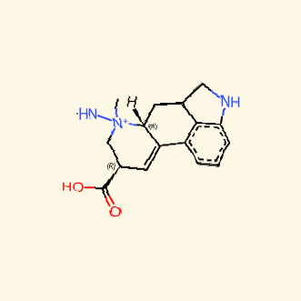 C[N+]1([NH])C[C@H](C(=O)O)C=C2c3cccc4c3C(CN4)C[C@H]21